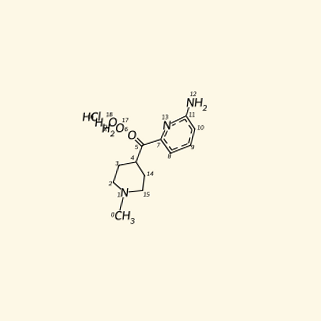 CN1CCC(C(=O)c2cccc(N)n2)CC1.Cl.O.O